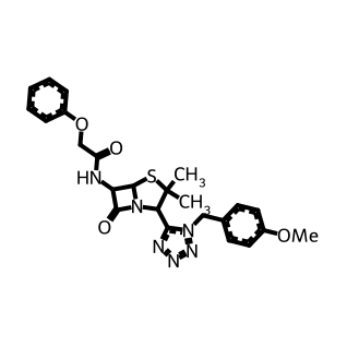 COc1ccc(Cn2nnnc2C2N3C(=O)C(NC(=O)COc4ccccc4)C3SC2(C)C)cc1